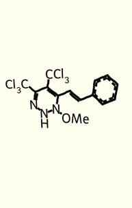 CON1NN=C(C(Cl)(Cl)Cl)C(C(Cl)(Cl)Cl)=C1C=Cc1ccccc1